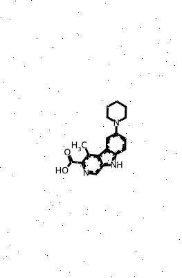 Cc1c(C(=O)O)ncc2[nH]c3ccc(N4CCCCC4)cc3c12